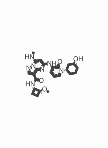 CNc1cc(Nc2cccn([C@H]3CCC[C@H](O)C3)c2=O)nc2c(C(=O)N[C@H]3CC[C@@H]3OC)cnn12